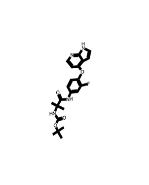 CC(C)(C)OC(=O)NC(C)(C)C(=O)Nc1ccc(Oc2ccnc3[nH]ccc23)c(F)c1